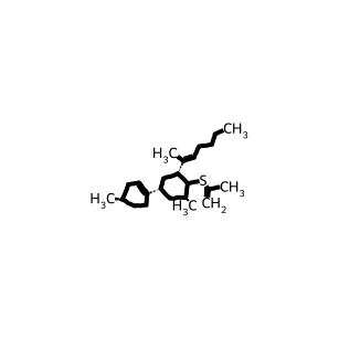 C=C(C)SC1[C@H](C)C[C@H](C2=CC[C@H](C)CC2)C[C@@H]1/C(C)=C/CCCC